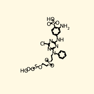 Nc1cc(Nc2nc(Cl)nc(N(CCS(=O)(=O)CCOSOOO)c3ccccc3)n2)ccc1S(=O)(=O)O